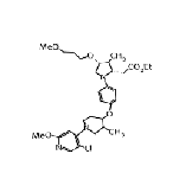 CCOC(=O)C[C@H]1[C@H](C)[C@@H](OCCCOC)CN1c1ccc(O[C@@H]2CCN(c3cc(OC)ncc3Cl)C[C@@H]2C)cc1